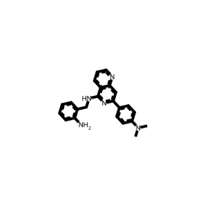 CN(C)c1ccc(-c2cc3ncccc3c(NCc3ccccc3N)n2)cc1